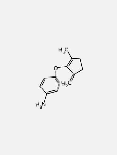 C=C1CCC(C)=C1Oc1ccc(N)cc1